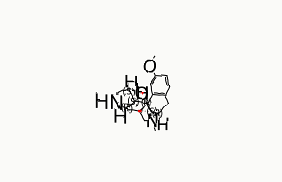 COc1ccc2c(c1)[C@]13CCN(C)[C@H](C2)[C@]12CC[C@H]1NC[C@@H](O2)[C@H]13